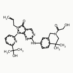 C=CCn1c(=O)c2cnc(Nc3ccc4c(c3)CN(C(=O)CO)CC4(C)C)nc2n1-c1cccc(C(C)(C)O)n1